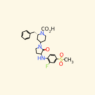 CS(=O)(=O)c1ccc(NC2CCN(C3CCN(C(=O)O)[C@@H](Cc4ccccc4)C3)C2=O)c(F)c1